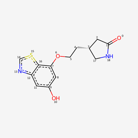 O=C1C[C@@H](CCOc2cc(O)cc3ncsc23)CN1